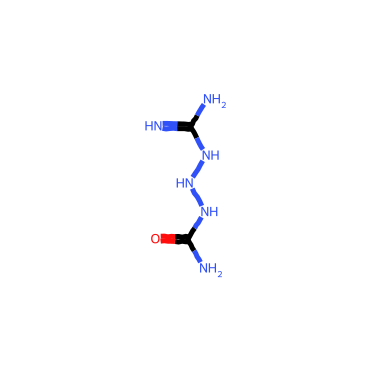 N=C(N)NNNC(N)=O